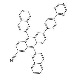 N#Cc1ccc2c(-c3ccc4ccccc4c3)c3cc(-c4ccc(-c5ncncn5)cc4)ccc3c(-c3ccc4ccccc4c3)c2c1